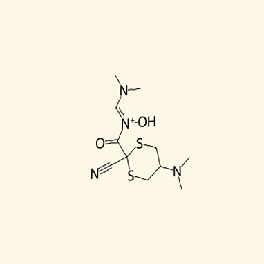 CN(C)C=[N+](O)C(=O)C1(C#N)SCC(N(C)C)CS1